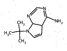 CC(C)(C)N1C=CC2C(N)=NC=NC21